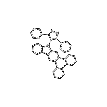 c1ccc(-c2nnc(-c3ccccc3)n2-n2c3ccccc3c3cc4c5ccccc5c5ccccc5c4cc32)cc1